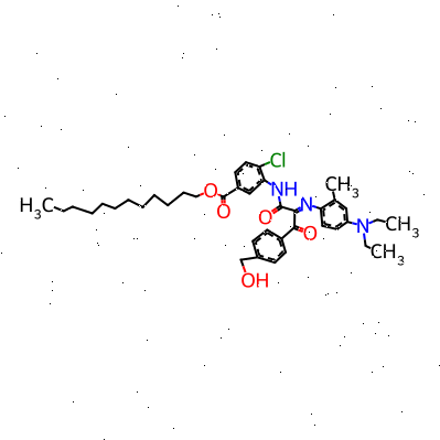 CCCCCCCCCCCCOC(=O)c1ccc(Cl)c(NC(=O)C(=Nc2ccc(N(CC)CC)cc2C)C(=O)c2ccc(CO)cc2)c1